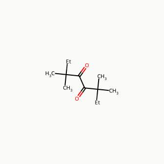 CCC(C)(C)C(=O)C(=O)C(C)(C)CC